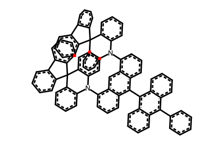 c1ccc(-c2c3ccccc3c(-c3c4cccc(N5c6ccccc6C6(c7ccccc7-c7ccccc76)c6ccccc65)c4cc4c(N5c6ccccc6C6(c7ccccc7-c7ccccc76)c6ccccc65)cccc34)c3ccccc23)cc1